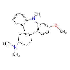 COc1ccc2c(c1)N(C)c1ccccc1C1=C2CCC(N(C)C)C1